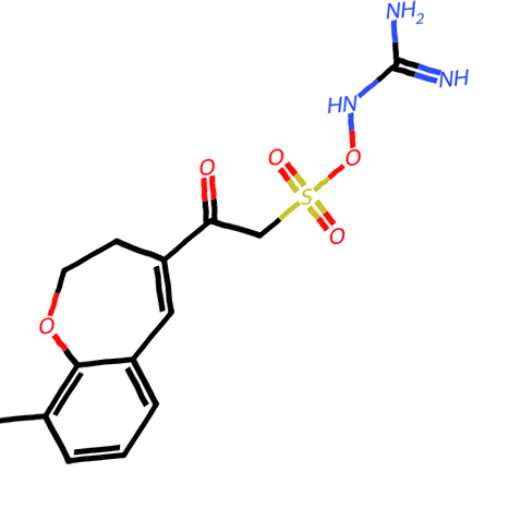 Cc1cccc2c1OCCC(C(=O)CS(=O)(=O)ONC(=N)N)=C2